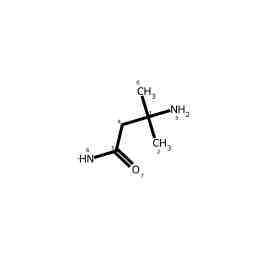 CC(C)(N)CC([NH])=O